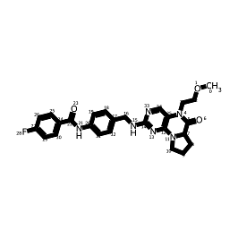 COCCN1C(=O)C2CCCN2c2nc(NCc3ccc(NC(=O)c4ccc(F)cc4)cc3)ncc21